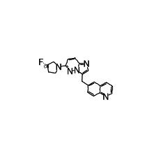 F[C@H]1CCN(c2ccc3ncc(Cc4ccc5ncccc5c4)n3n2)C1